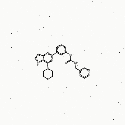 O=C(NCc1cccnc1)Nc1cccc(-c2nc(N3CCOCC3)c3[nH]ccc3n2)c1